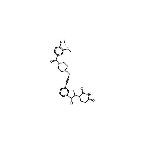 COc1cc(C(=O)N2CCN(CC#Cc3cccc4c3CN(C3CCC(=O)NC3=O)C4=O)CC2)ccc1N